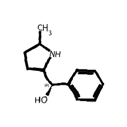 CC1CCC([C@H](O)c2ccccc2)N1